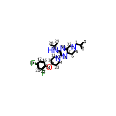 CC(C)CN1CCc2nc(N3CCC(Oc4ccc(F)cc4F)CC3)c(NC(C)C)nc2C1